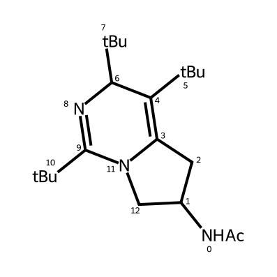 CC(=O)NC1CC2=C(C(C)(C)C)C(C(C)(C)C)N=C(C(C)(C)C)N2C1